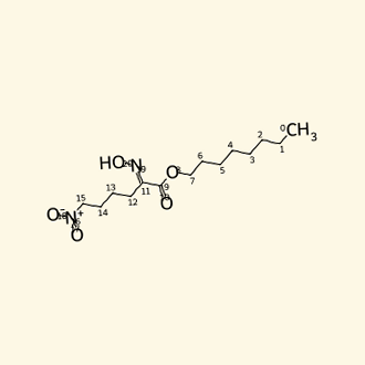 CCCCCCCCOC(=O)C(CCCC[N+](=O)[O-])=NO